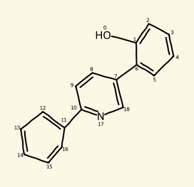 Oc1ccccc1-c1ccc(-c2ccccc2)nc1